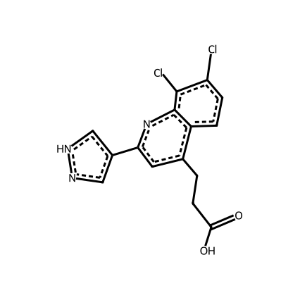 O=C(O)CCc1cc(-c2cn[nH]c2)nc2c(Cl)c(Cl)ccc12